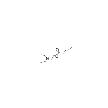 CCCCC(=O)OCCN(CC)CC